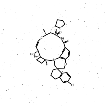 C[C@@H]1C/C=C\[C@H](O)[C@@H]2CC[C@H]2CN2C[C@@]3(CCCc4cc(Cl)ccc43)COc3ccc(cc32)C(=O)NS(=O)(=O)[C@H]1C[C@@H]1CCCO1